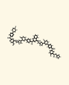 CCc1cnc(Nc2ccc(N3CCN(C)CC3)cc2)nc1NCC1CC(C2CN(c3ccc(Nc4nc(NCC5CC(C6CN(c7ccc(Nc8ncc(C)c(NCC9CCCO9)n8)cc7)CCN6C)CO5)c5ccccc5n4)cc3)CCN2C)CO1